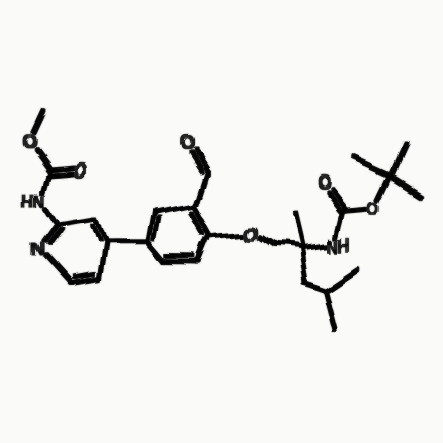 COC(=O)Nc1cc(-c2ccc(OCC(C)(CC(C)C)NC(=O)OC(C)(C)C)c(C=O)c2)ccn1